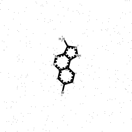 Nc1n[nH]c2c1nnc1cc(Br)ccc12